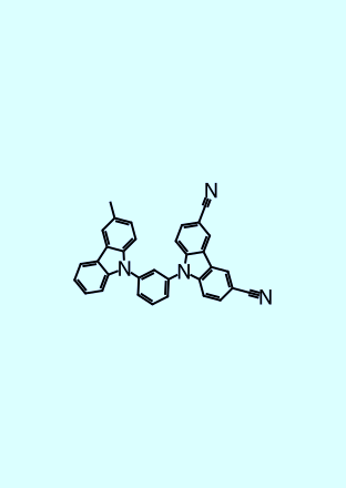 Cc1ccc2c(c1)c1ccccc1n2-c1cccc(-n2c3ccc(C#N)cc3c3cc(C#N)ccc32)c1